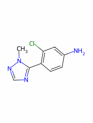 Cn1ncnc1-c1ccc(N)cc1Cl